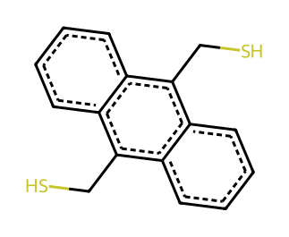 SCc1c2ccccc2c(CS)c2ccccc12